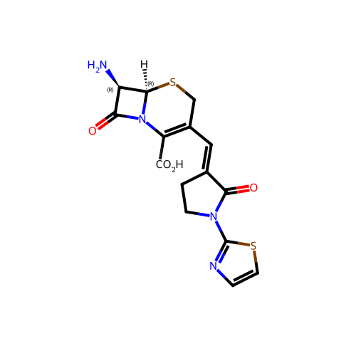 N[C@@H]1C(=O)N2C(C(=O)O)=C(C=C3CCN(c4nccs4)C3=O)CS[C@H]12